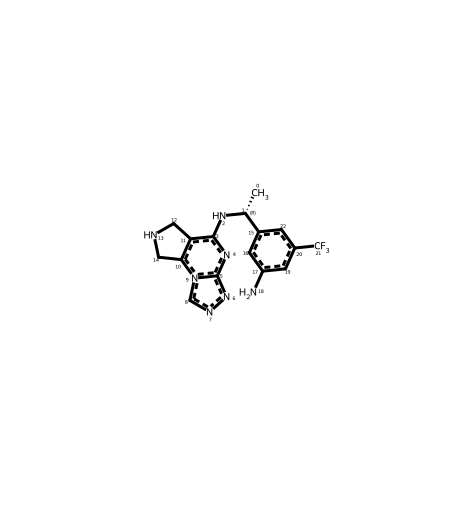 C[C@@H](Nc1nc2nncn2c2c1CNC2)c1cc(N)cc(C(F)(F)F)c1